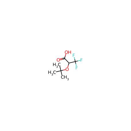 CC(C)(C)OC(C(=O)O)C(F)(F)F